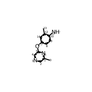 Cc1cncc(Oc2ccc([NH])c(C)c2)n1